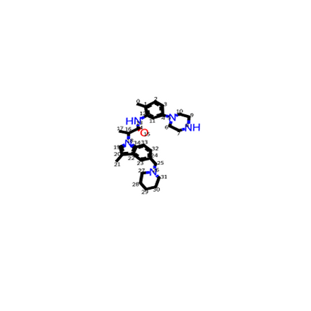 Cc1ccc(N2CCNCC2)cc1NC(=O)C(C)n1cc(C)c2cc(CN3CCCCC3)ccc21